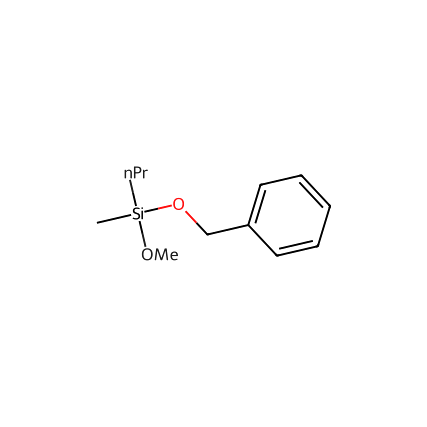 CCC[Si](C)(OC)OCc1ccccc1